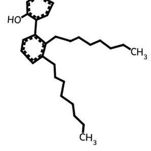 CCCCCCCCc1cccc(-c2ccccc2O)c1CCCCCCCC